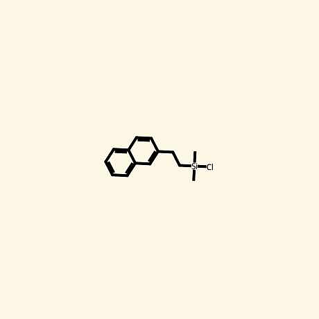 C[Si](C)(Cl)CCc1ccc2ccccc2c1